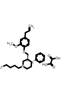 C=CCc1ccc(OC[C@@H]2CN(CCCCC)CC[C@H]2c2ccccc2)c(OC)c1.O=C(O)C(=O)O